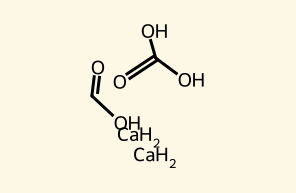 O=C(O)O.O=CO.[CaH2].[CaH2]